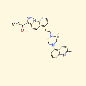 CNC(=O)c1ncn2c1ccc1c(CCN3CCN(c4cccc5nc(C)ccc45)C[C@H]3C)cccc12